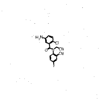 N#CCN(C(=O)c1cc(N)ccc1Cl)c1ccc(F)cc1C#N